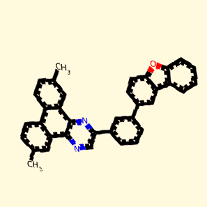 Cc1ccc2c3ccc(C)cc3c3nc(-c4cccc(-c5ccc6oc7ccccc7c6c5)c4)cnc3c2c1